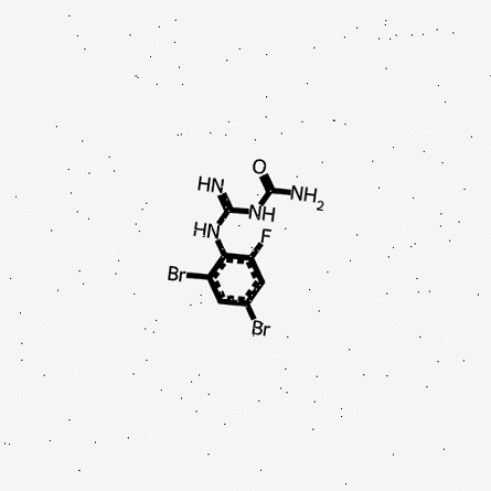 N=C(NC(N)=O)Nc1c(F)cc(Br)cc1Br